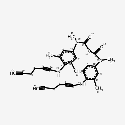 C#CCCC#CNc1ccc(N(C)C(=O)OC(=O)N(C)c2cc(C)c(NC#CCCC#C)c(C)c2)cc1C